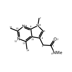 CNC(=O)Cc1cn(C)c2nc(C)nc(C)c12